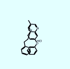 CC1=C2CCN(CCc3ccccn3)C23CC=C(Oc2ccccc2)C=C3N=C1.Cl